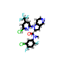 CN(C(=O)[C@H]1Cc2cnccc2N1c1cc(C(F)(F)F)cc(Cl)n1)c1cc(Cl)c(F)cc1F